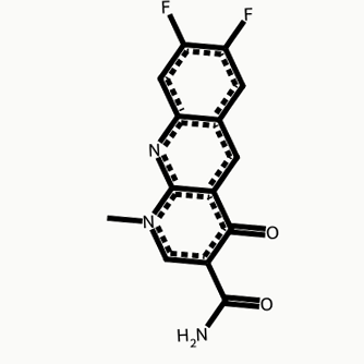 Cn1cc(C(N)=O)c(=O)c2cc3cc(F)c(F)cc3nc21